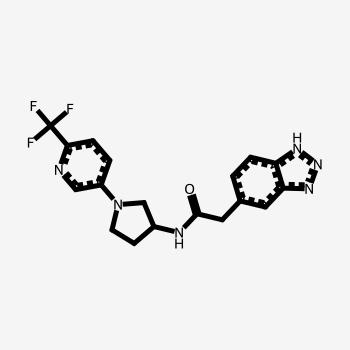 O=C(Cc1ccc2[nH]nnc2c1)NC1CCN(c2ccc(C(F)(F)F)nc2)C1